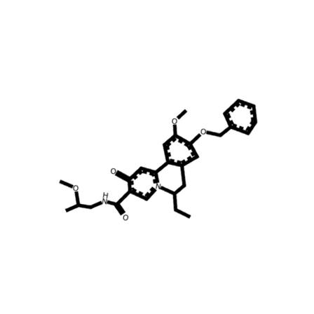 CCC1Cc2cc(OCc3ccccc3)c(OC)cc2-c2cc(=O)c(C(=O)NCC(C)OC)cn21